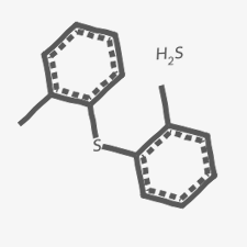 Cc1ccccc1Sc1ccccc1C.S